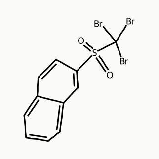 O=S(=O)(c1ccc2ccccc2c1)C(Br)(Br)Br